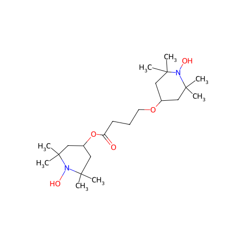 CC1(C)CC(OCCCC(=O)OC2CC(C)(C)N(O)C(C)(C)C2)CC(C)(C)N1O